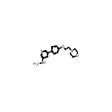 CBc1cncc(-c2ccc(OCCN3CCOCC3)cc2)c1